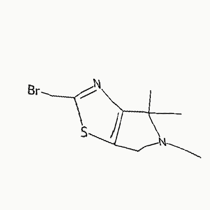 CN1Cc2sc(Br)nc2C1(C)C